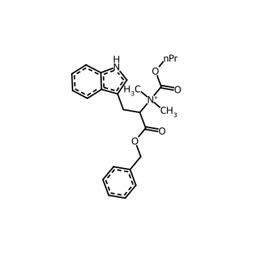 CCCOC(=O)[N+](C)(C)C(Cc1c[nH]c2ccccc12)C(=O)OCc1ccccc1